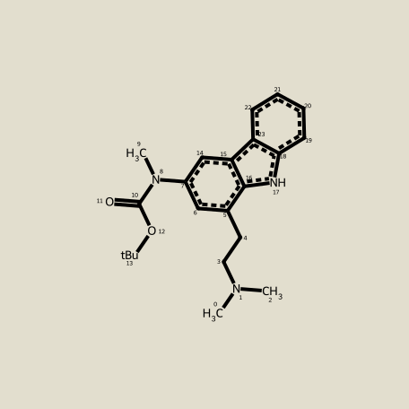 CN(C)CCc1cc(N(C)C(=O)OC(C)(C)C)cc2c1[nH]c1ccccc12